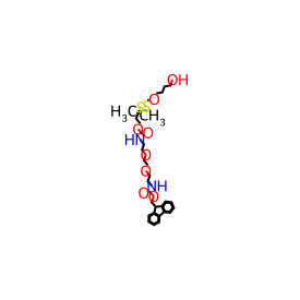 CC(C)(CCOC(=O)NCCOCCOCCNC(=O)OCC1c2ccccc2-c2ccccc21)SSCOCCCCO